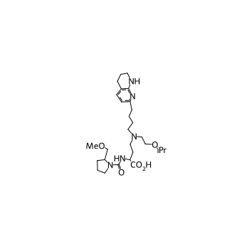 COCC1CCCN1C(=O)NC(CCN(CCCCc1ccc2c(n1)NCCC2)CCOC(C)C)C(=O)O